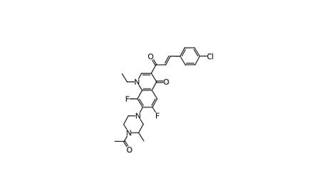 CCn1cc(C(=O)C=Cc2ccc(Cl)cc2)c(=O)c2cc(F)c(N3CCN(C(C)=O)C(C)C3)c(F)c21